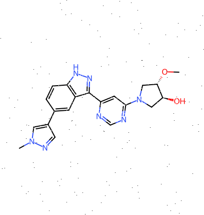 CO[C@H]1CN(c2cc(-c3n[nH]c4ccc(-c5cnn(C)c5)cc34)ncn2)C[C@@H]1O